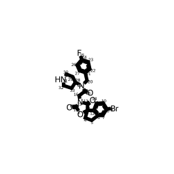 O=C1OC2(CCc3cc(Br)ccc32)C(=O)N1CC(=O)N(Cc1ccc(F)cc1)C1CCNCC1